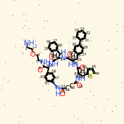 NCCOCCNC(=O)C1NC(=O)[C@@H](Cc2ccccc2)NC(=O)[C@H](Cc2ccc(-c3ccccc3)cc2)NC(=O)[C@@H](Cc2cccs2)NC(=O)CCC(=O)Nc2ccc1cc2